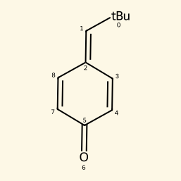 CC(C)(C)C=C1C=CC(=O)C=C1